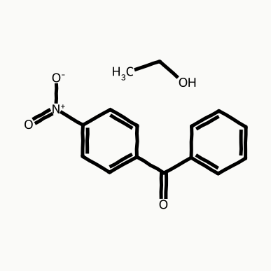 CCO.O=C(c1ccccc1)c1ccc([N+](=O)[O-])cc1